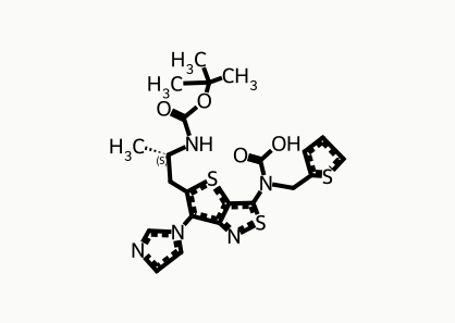 C[C@@H](Cc1sc2c(N(Cc3cccs3)C(=O)O)snc2c1-n1ccnc1)NC(=O)OC(C)(C)C